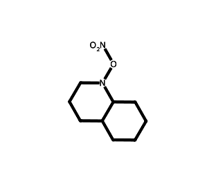 O=[N+]([O-])ON1CCCC2CCCCC21